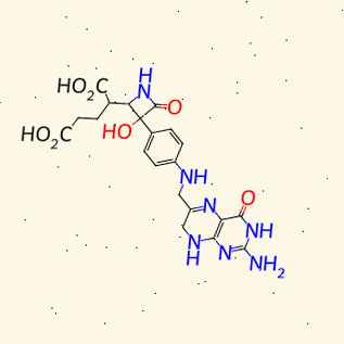 Nc1nc2c(c(=O)[nH]1)N=C(CNc1ccc(C3(O)C(=O)NC3C(CCC(=O)O)C(=O)O)cc1)CN2